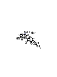 N=c1[nH]c(/C(=N/O)C(=O)NC2C(=O)N3C(C(=O)[O-])=C(COC(N)=O)CS[C@H]23)cs1.[Na+]